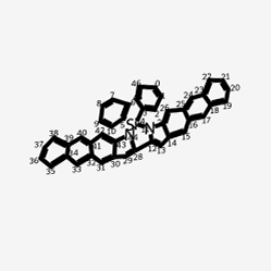 c1ccc([Si]2(c3ccccc3)n3c(cc4cc5cc6ccccc6cc5cc43)-c3cc4cc5cc6ccccc6cc5cc4n32)cc1